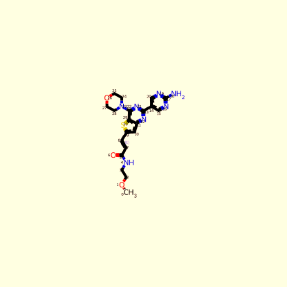 COCCNC(=O)/C=C/c1cc2nc(-c3cnc(N)nc3)nc(N3CCOCC3)c2s1